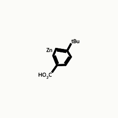 CC(C)(C)c1ccc(C(=O)O)cc1.[Zn]